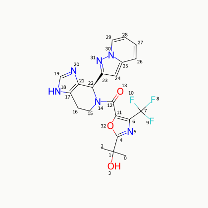 CC(C)(O)c1nc(C(F)(F)F)c(C(=O)N2CCc3[nH]cnc3[C@H]2c2cc3ccccn3n2)o1